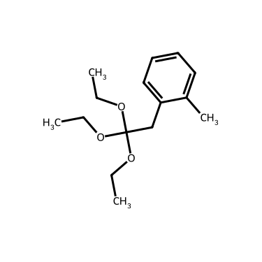 CCOC(Cc1ccccc1C)(OCC)OCC